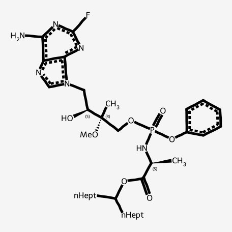 CCCCCCCC(CCCCCCC)OC(=O)[C@H](C)NP(=O)(OC[C@@](C)(OC)[C@@H](O)Cn1cnc2c(N)nc(F)nc21)Oc1ccccc1